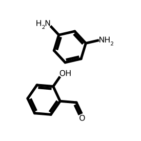 Nc1cccc(N)c1.O=Cc1ccccc1O